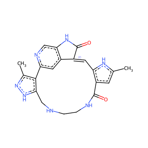 Cc1cc2c([nH]1)/C=C1\C(=O)Nc3cnc(cc31)-c1c(C)n[nH]c1CNCCNC2=O